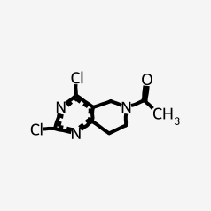 CC(=O)N1CCc2nc(Cl)nc(Cl)c2C1